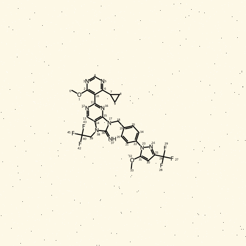 COc1ncnc(C2CC2)c1-c1ncc2c(n1)n(Cc1ccc(-n3nc(C(F)(F)F)cc3OC)cc1)c(=N)n2CC(F)(F)F